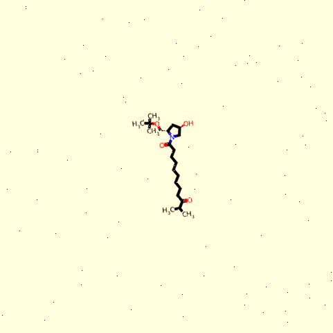 CC(C)C(=O)CCCCCCCCC(=O)N1C[C@H](O)C[C@H]1COC(C)(C)C